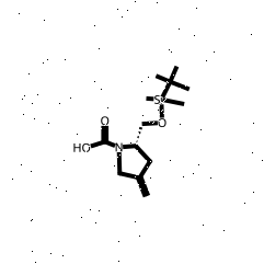 C=C1C[C@@H](CO[Si](C)(C)C(C)(C)C)N(C(=O)O)C1